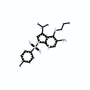 CCCOc1c(N)cnc2c1c(C(C)C)cn2S(=O)(=O)c1ccc(C)cc1